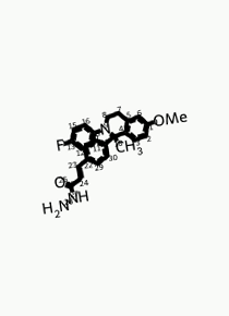 COc1ccc2c(c1)CCN(c1ccc(F)cc1)C2(C)c1ccc(C=CC(=O)NN)cc1